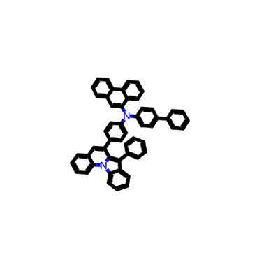 c1ccc(-c2ccc(N(c3ccc(-c4cc5ccccc5n5c4c(-c4ccccc4)c4ccccc45)cc3)c3cc4ccccc4c4ccccc34)cc2)cc1